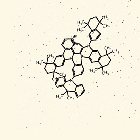 CC(C)(C)c1cc2c3c(c1)N(c1cc4c(cc1-c1ccccc1)C(C)(C)CCC4(C)C)c1cc(N4c5ccccc5C(C)(C)c5ccccc54)ccc1B3c1cc3c(cc1N2c1ccc2c(c1)C(C)(C)CCC2(C)C)C(C)(C)CCC3(C)C